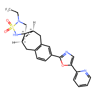 O=S1(=O)N[C@@]2(CN1CC(F)(F)F)[C@@H]1CC[C@H]2Cc2ccc(-c3ncc(-c4ccccn4)o3)cc2C1